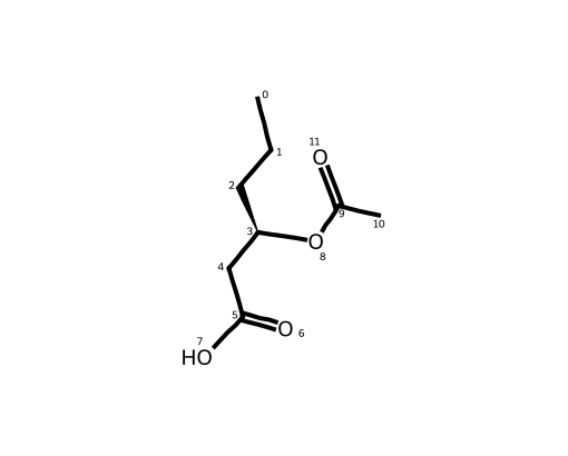 CCC[C@H](CC(=O)O)OC(C)=O